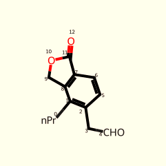 CCCc1c(CC=O)ccc2c1COC2=O